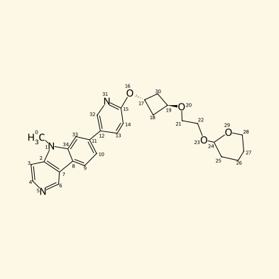 Cn1c2ccncc2c2ccc(-c3ccc(O[C@H]4C[C@H](OCCOC5CCCCO5)C4)nc3)cc21